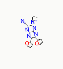 [C-]#[N+]c1nc2nc(-c3ccco3)c(-c3ccco3)nc2nc1C#N